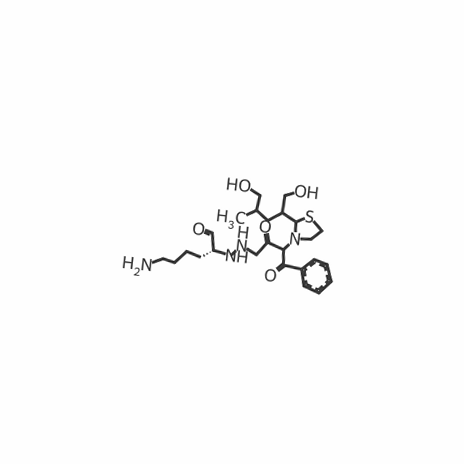 CC(CO)CC(CO)C1SCCN1C(C(=O)CNN[C@@H](C=O)CCCCN)C(=O)c1ccccc1